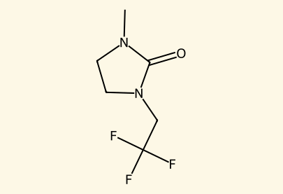 CN1CCN(CC(F)(F)F)C1=O